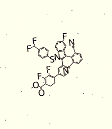 COC(=O)C1=C(F)C(F)=C(c2cccc(-c3c(-c4c(C#N)cccc4C#N)c4cc(F)ccc4n3Sc3ccc(C(F)F)cc3)c2)CC1